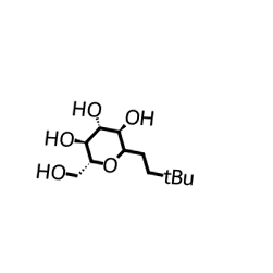 CC(C)(C)CCC1O[C@H](CO)[C@@H](O)[C@H](O)[C@H]1O